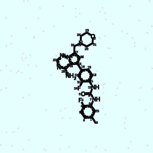 Cc1ccc(F)c(NC(=O)Nc2ccc(-c3cc(CN4CCOCC4)n4ncnc(N)c34)cc2F)c1